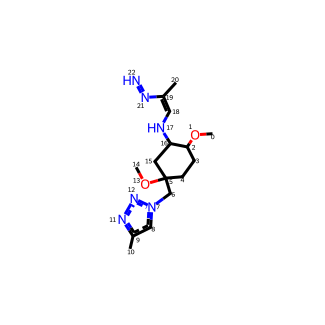 COC1CCC(Cn2cc(C)nn2)(OC)CC1N/C=C(/C)N=N